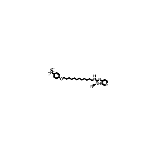 N#CN/C(=N\c1ccncc1)NCCCCCCCCCCCCOc1ccc([N+](=O)[O-])cc1